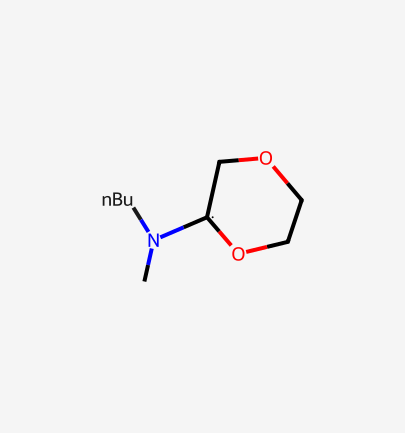 CCCCN(C)[C]1COCCO1